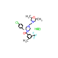 Cc1cc(C(=O)N2CCN(CCN3CC(C)OC(C)C3)C[C@H]2Cc2ccc(Cl)cc2)cc(C(F)(F)F)c1.Cl.Cl